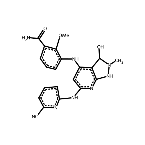 COc1c(Nc2cc(Nc3cccc(C#N)n3)nc3c2C(O)N(C)N3)cccc1C(N)=O